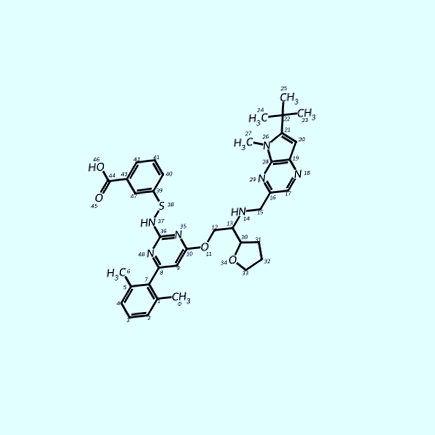 Cc1cccc(C)c1-c1cc(OCC(NCc2cnc3cc(C(C)(C)C)n(C)c3n2)C2CCCO2)nc(NSc2cccc(C(=O)O)c2)n1